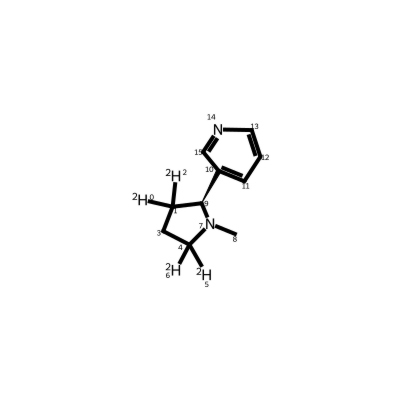 [2H]C1([2H])CC([2H])([2H])N(C)[C@@H]1c1cccnc1